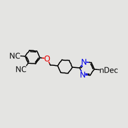 CCCCCCCCCCc1cnc(C2CCC(COc3ccc(C#N)c(C#N)c3)CC2)nc1